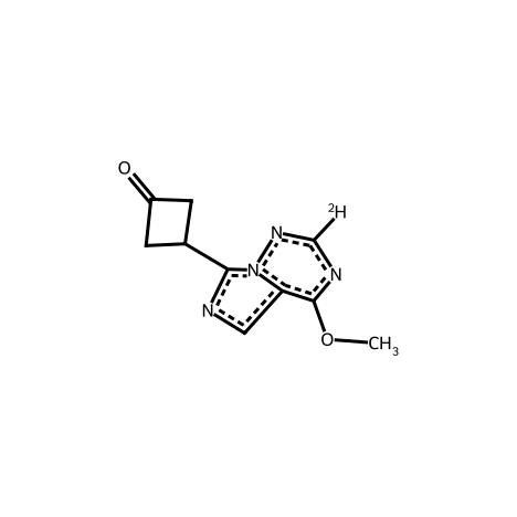 [2H]c1nc(OC)c2cnc(C3CC(=O)C3)n2n1